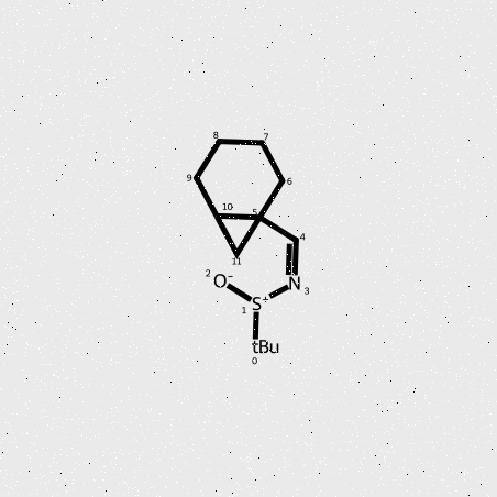 CC(C)(C)[S+]([O-])/N=C\C12CCCCC1C2